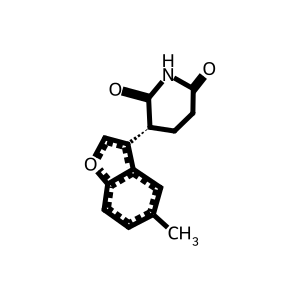 Cc1ccc2occ([C@H]3CCC(=O)NC3=O)c2c1